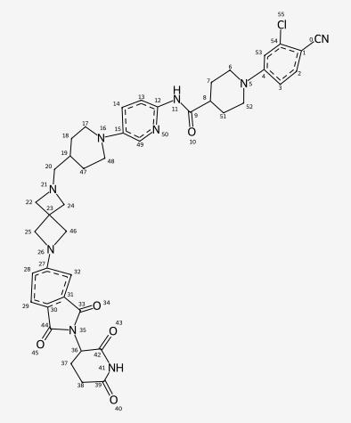 N#Cc1ccc(N2CCC(C(=O)Nc3ccc(N4CCC(CN5CC6(C5)CN(c5ccc7c(c5)C(=O)N(C5CCC(=O)NC5=O)C7=O)C6)CC4)cn3)CC2)cc1Cl